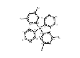 Cc1cc(C)cc([Si](c2ccccc2)(c2ccccc2)c2cc(C)cc(C)c2)c1